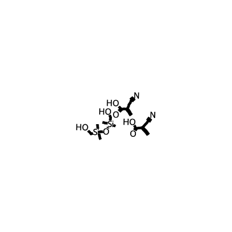 C=C(C#N)C(=O)O.C=C(C#N)C(=O)O.C[Si](C)(CO)O[Si](C)(C)CO